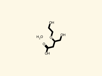 O.O=C(O)CC(CO)OCCO